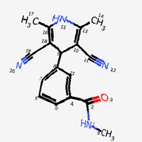 CNC(=O)c1cccc(C2C(C#N)=C(C)NC(C)=C2C#N)c1